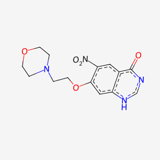 O=c1nc[nH]c2cc(OCCN3CCOCC3)c([N+](=O)[O-])cc12